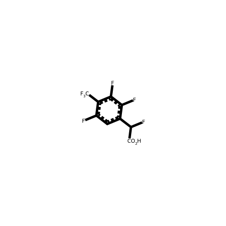 O=C(O)C(F)c1cc(F)c(C(F)(F)F)c(F)c1F